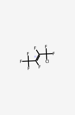 F/C(=C(/F)C(F)(F)Cl)C(F)(F)F